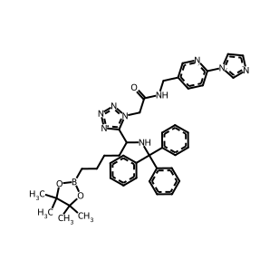 CC1(C)OB(CCCCC(NC(c2ccccc2)(c2ccccc2)c2ccccc2)c2nnnn2CC(=O)NCc2ccc(-n3ccnc3)nc2)OC1(C)C